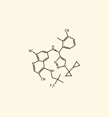 Cc1c(C#N)cccc1[C@H](Nc1cc(C#N)c2ncc(C#N)c(NCC(C)(C)C(F)(F)F)c2c1)c1cn(C2(C3CC3)CC2)nn1